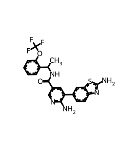 CC(NC(=O)c1cnc(N)c(-c2ccc3nc(N)sc3c2)c1)c1ccccc1OC(F)(F)F